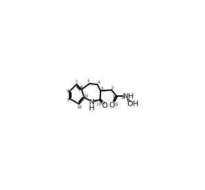 O=C(CC1CCc2ccccc2NC1=O)NO